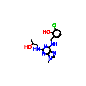 CC(O)CNc1nc(NCc2cccc(Cl)c2O)c2ncn(C)c2n1